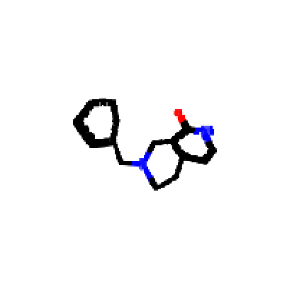 O=c1[nH]ccc2c1CN(Cc1ccccc1)CC2